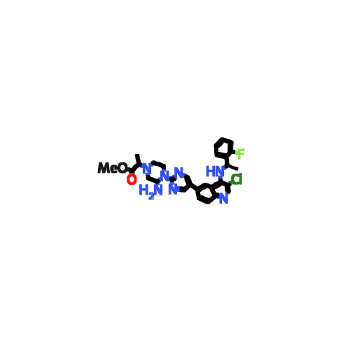 COC(=O)C(C)N1CCN(c2ncc(-c3ccc4ncc(Cl)c(N[C@H](C)c5ccccc5F)c4c3)cn2)C(N)C1